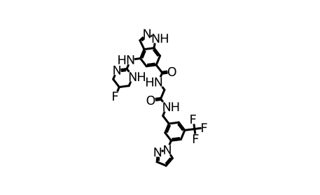 O=C(CNC(=O)c1cc(NC2=NCC(F)CN2)c2cn[nH]c2c1)NCc1cc(-n2cccn2)cc(C(F)(F)F)c1